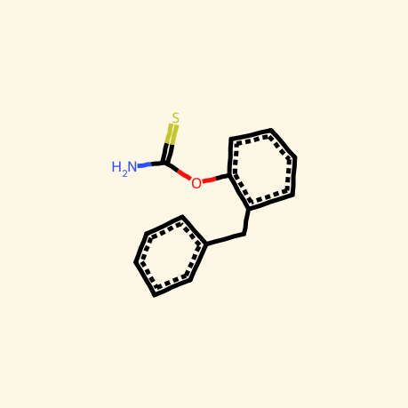 NC(=S)Oc1ccccc1Cc1ccccc1